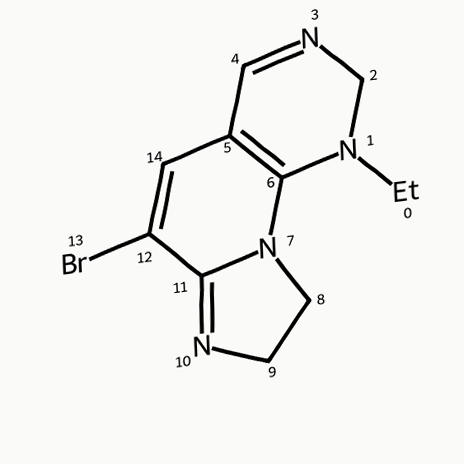 CCN1CN=CC2=C1N1CCN=C1C(Br)=C2